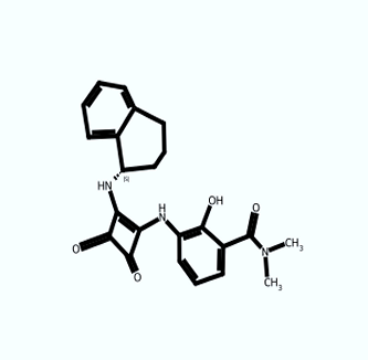 CN(C)C(=O)c1cccc(Nc2c(N[C@H]3CCCc4ccccc43)c(=O)c2=O)c1O